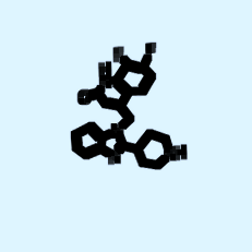 O=c1cc(Cn2c(C3CCNCC3)nc3ccccc32)c2ccc(F)c(F)c2[nH]1